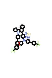 N=C1C(N(c2ccc(-c3ccc(C(F)(F)F)cc3)cc2)c2ccc(-c3ccc(C(F)(F)F)cc3)cc2)=CC=C(c2cc3ccccc3c3c4ccccc4n(-c4ccc(-c5ccccc5)cc4)c23)/C1=N/S